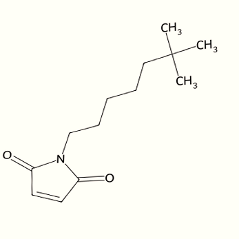 CC(C)(C)CCCCCN1C(=O)C=CC1=O